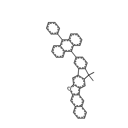 CC1(C)c2ccc(-c3c4ccccc4c(-c4ccccc4)c4ccccc34)cc2-c2cc3oc4cc5ccccc5cc4c3cc21